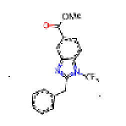 COC(=O)c1ccc2c(c1)nc(Cc1ccccc1)n2C(F)(F)F